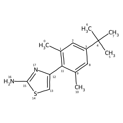 Cc1cc(C(C)(C)C)cc(C)c1-c1csc(N)n1